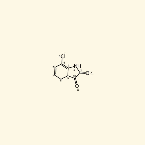 O=C1NC2=C(Cl)C=CCC2C1=O